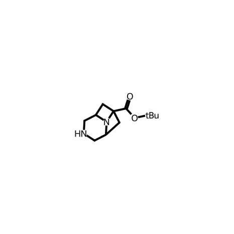 CC(C)(C)OC(=O)C12CC3CNCC(C1)N32